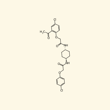 CC(=O)c1cc(Cl)ccc1OCC(=O)N[C@H]1CC[C@H](NC(=O)COc2ccc(Cl)cc2)CC1